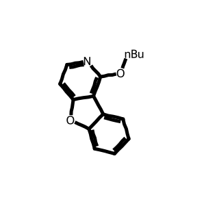 CCCCOc1nccc2oc3ccccc3c12